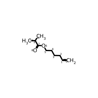 C=CCCCCOC(=O)C(C)C